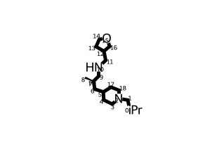 CC(C)CN1CCC(C[C@@H](C)CNCC2CCOC2)CC1